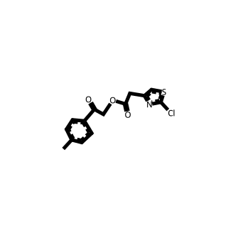 Cc1ccc(C(=O)COC(=O)Cc2csc(Cl)n2)cc1